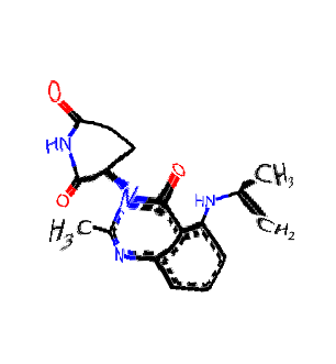 C=C(C)Nc1cccc2nc(C)n(C3CCC(=O)NC3=O)c(=O)c12